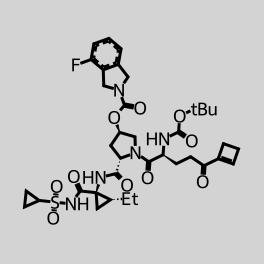 CC[C@@H]1C[C@]1(NC(=O)[C@@H]1C[C@@H](OC(=O)N2Cc3cccc(F)c3C2)CN1C(=O)[C@H](CCC(=O)C1=CCC1)NC(=O)OC(C)(C)C)C(=O)NS(=O)(=O)C1CC1